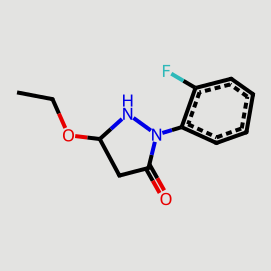 CCOC1CC(=O)N(c2ccccc2F)N1